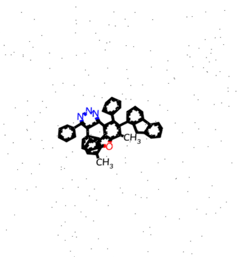 Cc1cccc2c1oc1c(C)c(-c3cccc4c3Cc3ccccc3-4)c(-c3ccccc3)c(-c3nnnc(-c4ccccc4)c3-c3ccccc3)c12